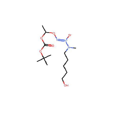 CC(ON=[N+]([O-])N(C)CCCCCO)OC(=O)OC(C)(C)C